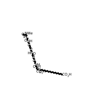 CN[C@@H](CSCC(=O)NCCOCCOCCNC(=O)COCCOCCNC(=O)CC[C@H](NC(=O)CCCCCCCCCCCCCCCCC(=O)O)C(=O)O)C(=O)C(C)C